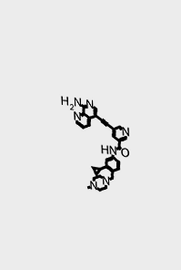 CN1CCN(Cc2ccc(NC(=O)c3cncc(C#Cc4cnc(N)c5ncccc45)c3)cc2C2CC2)CC1